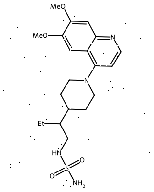 CCC(CNS(N)(=O)=O)C1CCN(c2ccnc3cc(OC)c(OC)cc23)CC1